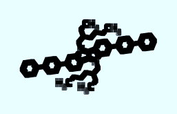 CCCCC(CC)Cn1c2cc(-c3ccc(-c4ccccc4)cc3)ccc2c2c1c1ccc(-c3ccc(-c4ccccc4)cc3)cc1n2CC(CC)CCCC